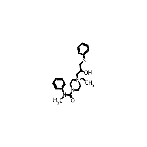 CC[N+]1(CC(O)CSc2ccccc2)CCN(C(=O)N(C)c2ccccc2)CC1